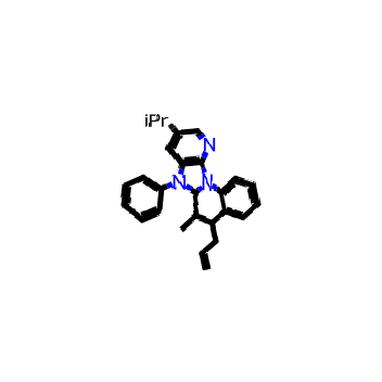 C=CCC1c2ccccc2N2c3ncc(C(C)C)cc3N(c3ccccc3)C2C1C